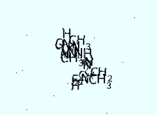 C=C(C)c1nc(C(F)(F)F)ccc1Cn1cc(CNc2nc(C)c3c(n2)N(C)CC(=O)N3)cn1